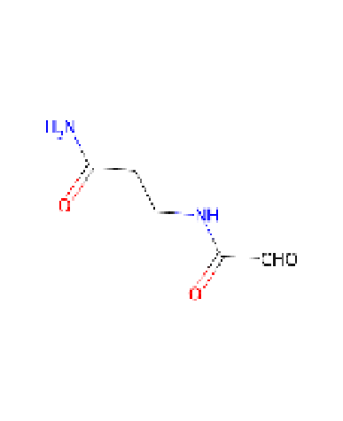 NC(=O)CCNC(=O)C=O